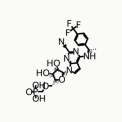 C[C@H](Nc1nc(C#N)nc2c1ccn2[C@@H]1O[C@H](COCP(=O)(O)O)[C@@H](O)[C@H]1O)c1ccc(C(F)(F)F)cc1